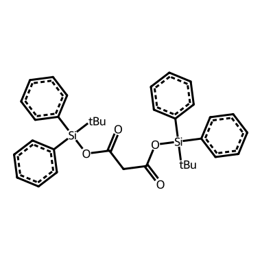 CC(C)(C)[Si](OC(=O)CC(=O)O[Si](c1ccccc1)(c1ccccc1)C(C)(C)C)(c1ccccc1)c1ccccc1